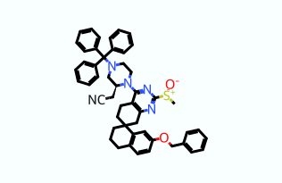 C[S+]([O-])c1nc2c(c(N3CCN(C(c4ccccc4)(c4ccccc4)c4ccccc4)C[C@@H]3CC#N)n1)CCC1(CCCc3ccc(OCc4ccccc4)cc31)C2